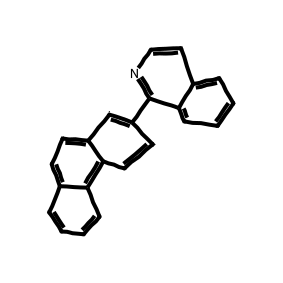 [c]1c(-c2nccc3ccccc23)ccc2c1ccc1ccccc12